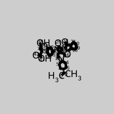 CC(C)[C@H]1CC[C@@H](N2CCC3(CC2)C(N2C(=O)c4ccccc4C2=O)C(=O)N3c2ccccc2)CC1.O=C(O)C=CC(=O)O